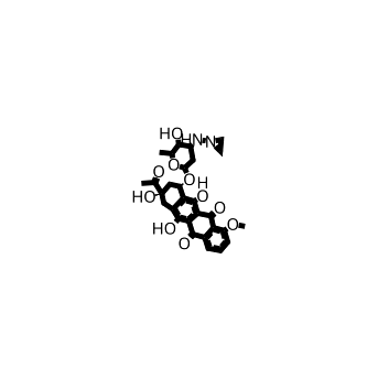 COc1cccc2c1C(=O)c1c(O)c3c(c(O)c1C2=O)C[C@@](O)(C(C)=O)C[C@@H]3OC1CC(NN2CC2)C(O)C(C)O1